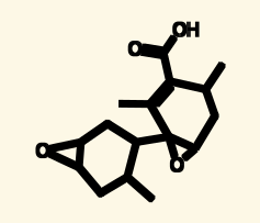 CC1=C(C(=O)O)C(C)CC2OC12C1CC2OC2CC1C